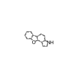 c1ccc2c(c1)oc1c3cc[nH]c3ccc21